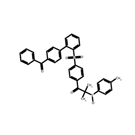 Cc1ccc([S+]([O-])C(C)(C)C(=O)c2ccc(S(=O)(=O)c3ccccc3-c3ccc(C(=O)c4ccccc4)cc3)cc2)cc1